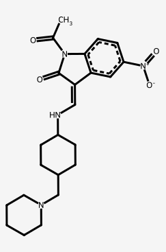 CC(=O)N1C(=O)C(=CNC2CCC(CN3CCCCC3)CC2)c2cc([N+](=O)[O-])ccc21